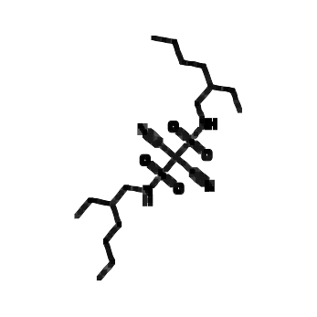 CCCCC(CC)CNS(=O)(=O)C(C#N)(C#N)S(=O)(=O)NCC(CC)CCCC